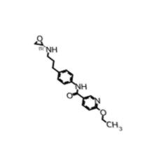 CCOc1ccc(C(=O)Nc2ccc(CCCN[C@@H]3CO3)cc2)cn1